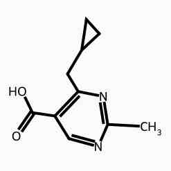 Cc1ncc(C(=O)O)c(CC2CC2)n1